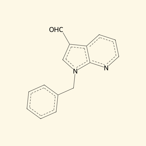 O=Cc1cn(Cc2ccccc2)c2ncccc12